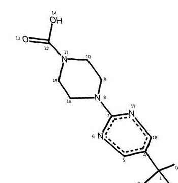 CC(C)(O)c1cnc(N2CCN(C(=O)O)CC2)nc1